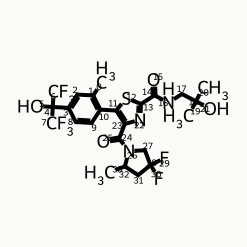 Cc1cc(C(O)(C(F)(F)F)C(F)(F)F)ccc1-c1sc(C(=O)NCC(C)(C)O)nc1C(=O)N1CC(F)(F)CC1C